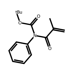 C=C(C)C(=O)N(C(=O)OC(C)(C)C)c1ccccc1